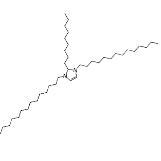 CCCCCCCCCCCCCCN1C=CN(CCCCCCCCCCCCCC)C1CCCCCCCCC